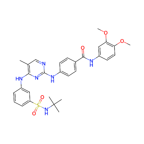 COc1ccc(NC(=O)c2ccc(Nc3ncc(C)c(Nc4cccc(S(=O)(=O)NC(C)(C)C)c4)n3)cc2)cc1OC